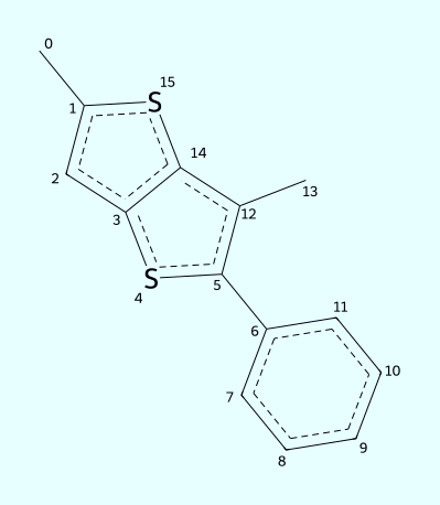 Cc1cc2sc(-c3ccccc3)c(C)c2s1